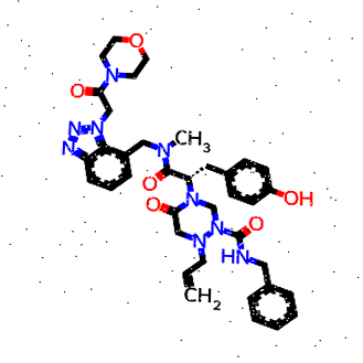 C=CCN1CC(=O)N([C@@H](Cc2ccc(O)cc2)C(=O)N(C)Cc2cccc3nnn(CC(=O)N4CCOCC4)c23)CN1C(=O)NCc1ccccc1